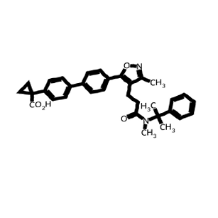 Cc1noc(-c2ccc(-c3ccc(C4(C(=O)O)CC4)cc3)cc2)c1CCC(=O)N(C)C(C)(C)c1ccccc1